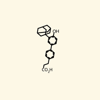 O=C(O)CCc1ccc(-c2ccc(O)c(C34CC5CC(CC(C5)C3)C4)c2)cc1